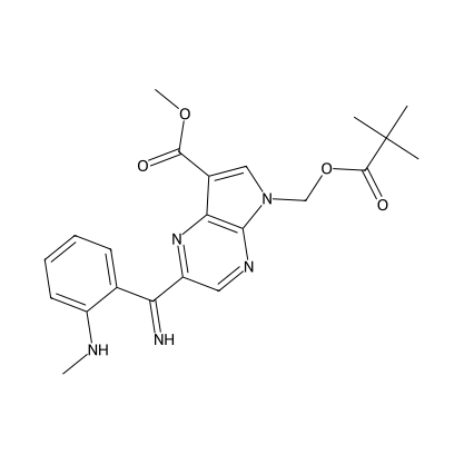 CNc1ccccc1C(=N)c1cnc2c(n1)c(C(=O)OC)cn2COC(=O)C(C)(C)C